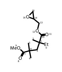 CCC(C)(CC(C)(C)C(=O)OC)C(=O)OCC1CO1